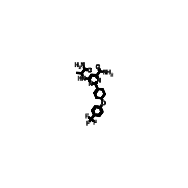 CC(Nc1cc(C(N)=O)nc(C2=CCC(Oc3ccc(C(F)(F)F)cc3)CC2)n1)C(N)=O